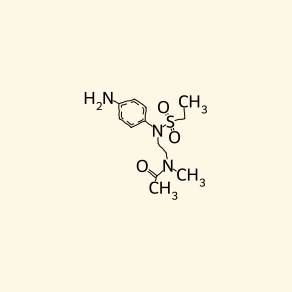 CCS(=O)(=O)N(CCN(C)C(C)=O)c1ccc(N)cc1